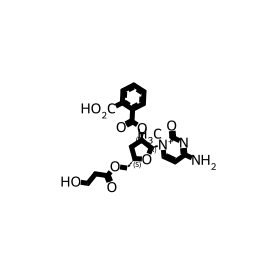 C[N+]1([C@@H]2O[C@H](COC(=O)CCO)C[C@H]2OC(=O)c2ccccc2C(=O)O)C=CC(N)=NC1=O